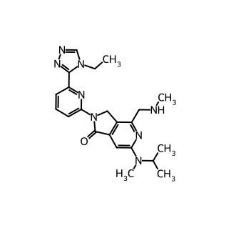 CCn1cnnc1-c1cccc(N2Cc3c(cc(N(C)C(C)C)nc3CNC)C2=O)n1